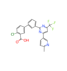 Cc1ccc(-c2cc(C(F)(F)F)nc(-c3cccc(-c4ccc(Cl)c(C(=O)O)c4)c3)n2)cn1